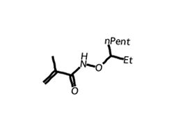 C=C(C)C(=O)NOC(CC)CCCCC